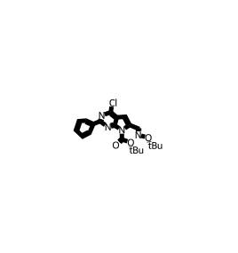 CC(C)(C)ON=Cc1cc2c(Cl)nc(-c3ccccc3)nc2n1C(=O)OC(C)(C)C